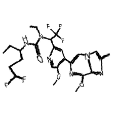 CCC(CCC(F)F)NC(=O)N(CC)C(c1cc(-c2cn3cc(C)nc3c(OC)n2)c(OC)cn1)C(F)(F)F